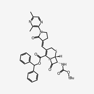 Cc1cnc(N2CCC(=CC3=C(C(=O)OC(c4ccccc4)c4ccccc4)N4C(=O)[C@@H](NC(=O)OC(C)(C)C)[C@H]4SC3)C2=O)c(C)n1